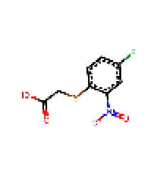 O=C(O)CSc1ccc(F)cc1[N+](=O)[O-]